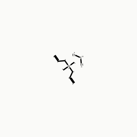 C=CC[N+](C)(C)CC=C.CCSCC